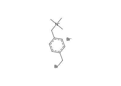 C[N+](C)(C)Cc1ccc(CBr)cc1.[Br-]